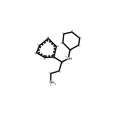 NCCC(NC1CCCCC1)c1ccccc1